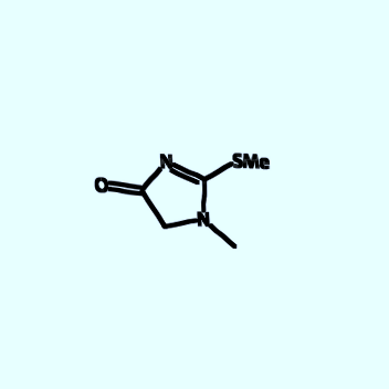 CSC1=NC(=O)CN1C